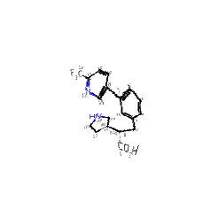 O=C(O)[C@@H](Cc1cccc(-c2ccc(C(F)(F)F)nc2)c1)[C@H]1CCNC1